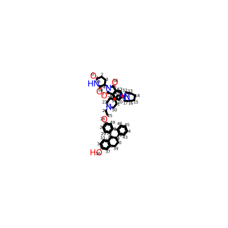 O=C1CCC(N2C(=O)c3ccc(N4C5CCC4CN(CC4CCN(CCOc6ccc([C@@H]7c8ccc(O)cc8CC[C@@H]7c7ccccc7)cc6)CC4)C5)cc3C2=O)C(=O)N1